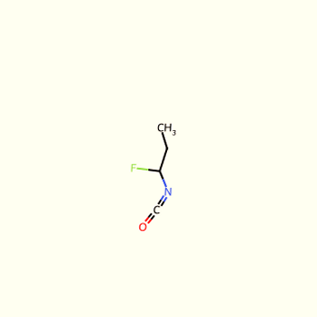 CCC(F)N=C=O